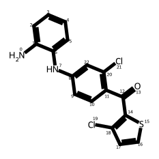 Nc1ccccc1Nc1ccc(C(=O)c2sccc2Cl)c(Cl)c1